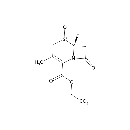 CC1=C(C(=O)OCC(Cl)(Cl)Cl)N2C(=O)C[C@H]2[S+]([O-])C1